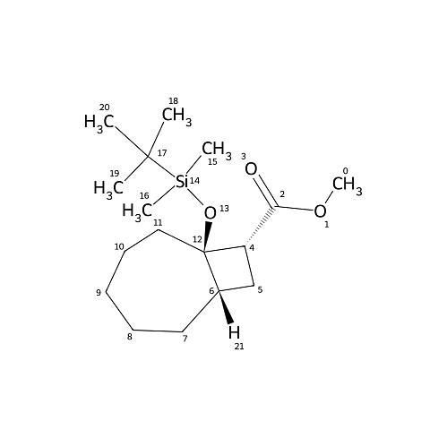 COC(=O)[C@@H]1C[C@@H]2CCCCC[C@@]21O[Si](C)(C)C(C)(C)C